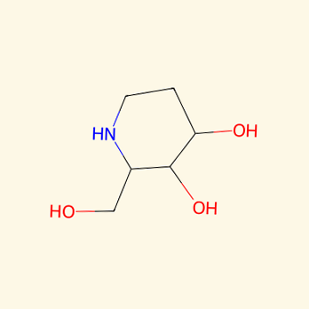 OCC1NCCC(O)C1O